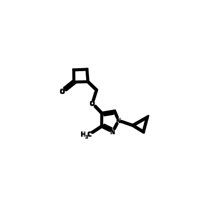 Cc1nn(C2CC2)cc1OCC1CCC1=O